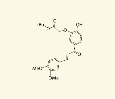 COc1ccc(/C=C/C(=O)c2ccc(O)c(OCC(=O)OC(C)(C)C)c2)cc1OC